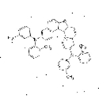 Cc1cccc(N(C2=CC3C=CC4OC5C=Cc6cc(N(c7cccc(C)c7)c7ccccc7C)ccc6C5C4C3C=C2)c2ccccc2C)c1